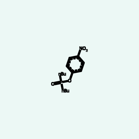 CCCCP(=O)(CCCC)Oc1ccc([N+](=O)[O-])cc1